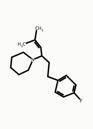 CC(C)=CC(CCc1ccc(F)cc1)N1CCCCC1